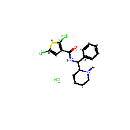 CN1CCCCC1C(NC(=O)c1cc(Cl)sc1Cl)c1ccccc1.Cl